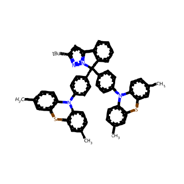 Cc1ccc2c(c1)Sc1cc(C)ccc1N2c1ccc(C2(c3ccc(N4c5ccc(C)cc5Sc5cc(C)ccc54)cc3)c3ccccc3-c3cc(C(C)(C)C)nn32)cc1